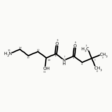 CC(C)(C)CC(=O)NC(=O)C(O)CCCN